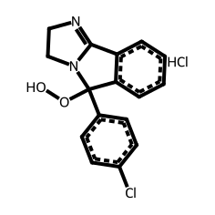 Cl.OOC1(c2ccc(Cl)cc2)c2ccccc2C2=NCCN21